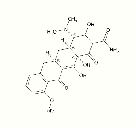 CCCOc1cccc2c1C(=O)C1=C(O)[C@]3(O)C(=O)C(C(N)=O)C(O)[C@@H](N(C)C)[C@@H]3C[C@@H]1C2